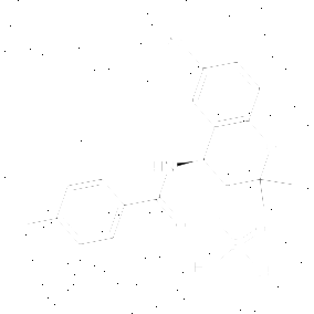 CC(=O)c1ccc2c(c1)[C@H](NC(=O)c1ccc(F)cc1)[C@@H](OP(=O)(O)O)C(C)(C)O2